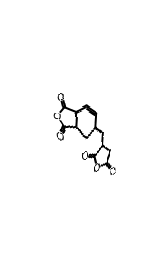 O=C1CC(CC2C=CC3C(=O)OC(=O)C3C2)C(=O)O1